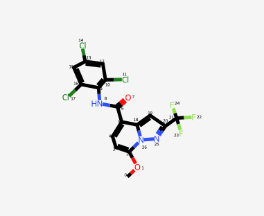 COc1ccc(C(=O)Nc2c(Cl)cc(Cl)cc2Cl)c2cc(C(F)(F)F)nn12